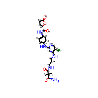 CC(C)(C(N)=O)C(=O)NCCCNc1nc(Nc2ccc(NC(=O)[C@@H]3CCC(=O)O3)cc2)ncc1Br